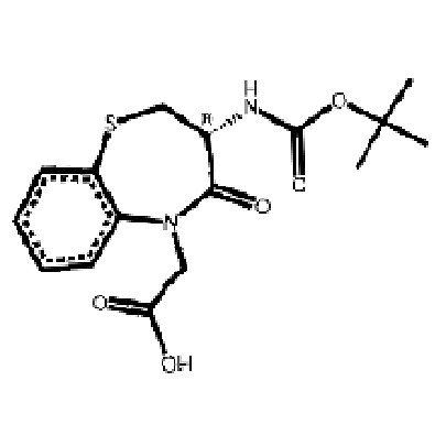 CC(C)(C)OC(=O)N[C@H]1CSc2ccccc2N(CC(=O)O)C1=O